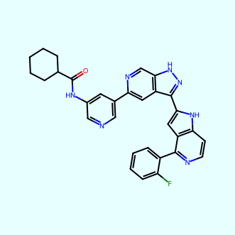 O=C(Nc1cncc(-c2cc3c(-c4cc5c(-c6ccccc6F)nccc5[nH]4)n[nH]c3cn2)c1)C1CCCCC1